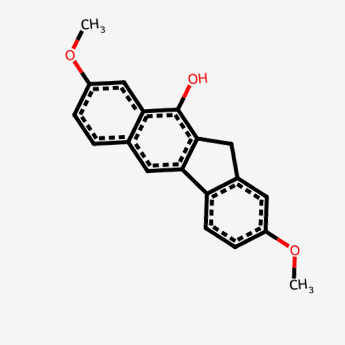 COc1ccc2c(c1)Cc1c-2cc2ccc(OC)cc2c1O